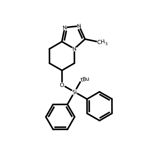 Cc1nnc2n1CC(O[Si](c1ccccc1)(c1ccccc1)C(C)(C)C)CC2